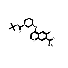 CC(C)(C)OC(=O)N1CCC[C@@H](Oc2ccnc3cc(C(N)=O)c(F)cc23)C1